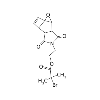 CC(C)(Br)C(=O)OCCN1C(=O)C2C(C1=O)C1OC13C=CC23